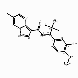 Cc1cnc2c(C(=O)N[C@H](c3ccc(OC(F)(F)F)c(F)c3)C(C)(C)O)cnn2c1